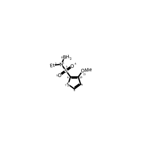 BN(CC)S(=O)(=O)c1sccc1OC